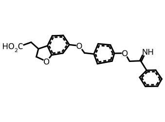 N=C(COc1ccc(COc2ccc3c(c2)OCC3CC(=O)O)cc1)c1ccccc1